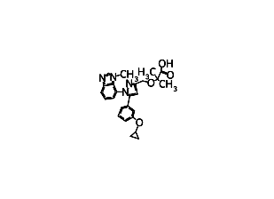 Cn1cnc2cccc(-n3nc(COC(C)(C)C(=O)O)cc3-c3cccc(OC4CC4)c3)c21